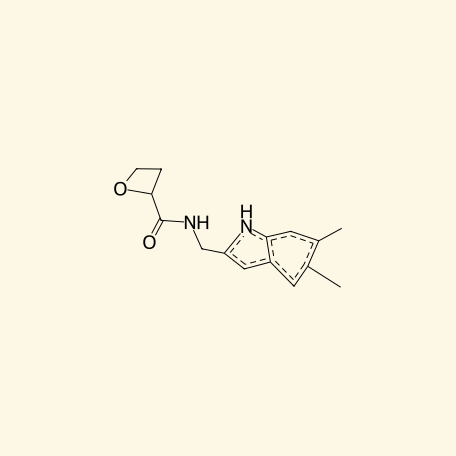 Cc1cc2cc(CNC(=O)C3CCO3)[nH]c2cc1C